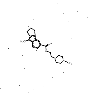 CN1CCN(CCNC(=O)c2ccc3c(c2)c2c(n3C)CCC2)CC1